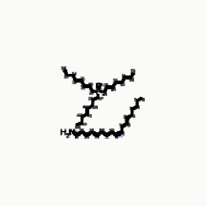 CCCCCCCC/C=C\CCCCCCCCN.CCCCCCCCP(=O)(CCCCCCCC)CCCCCCCC